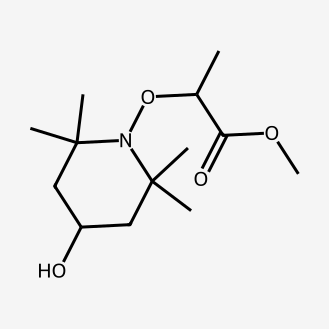 COC(=O)C(C)ON1C(C)(C)CC(O)CC1(C)C